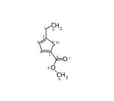 CCc1ccc(C(=O)OC)s1